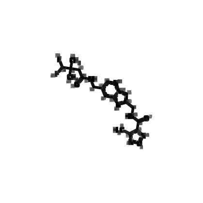 Cc1nonc1C(=O)NCc1cn2ncc(CNC(=O)CC(C)(C)C(F)F)cc2n1